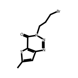 Cc1cc2nnn(CCCBr)c(=O)c2s1